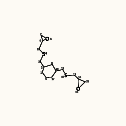 C1CC(CSCC2CO2)CC(CSCC2CO2)C1